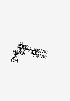 COc1ccc(/C=C/C(=O)Nc2ccccc2C(=O)NCCCCO)cc1OC